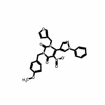 COc1ccc(Cn2c(=O)c([N+](=O)[O-])c(-c3cnn(-c4ccccc4)c3)n(Cc3ccoc3)c2=O)cc1